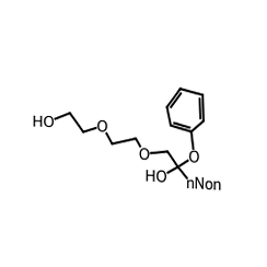 CCCCCCCCCC(O)(COCCOCCO)Oc1ccccc1